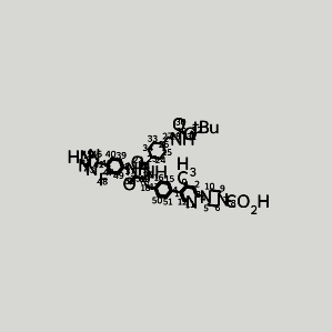 Cc1cc(N2CCN(C(=O)O)CC2)ncc1-c1ccc(C[C@H](NC(=O)[C@H]2CC[C@H](CNC(=O)OC(C)(C)C)CC2)C(=O)Nc2ccc(-c3nn[nH]n3)c(F)c2)cc1